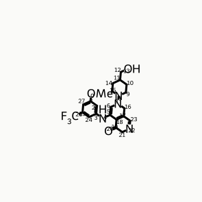 COc1cc(NC2=CN(N3CCC(CO)CC3)CC3=C2C(=O)CN=C3)cc(C(F)(F)F)c1